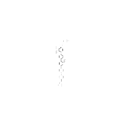 CCCOc1ccc(-c2ccc(-c3ccc(C4CCC(C5CCC(CCC)CC5)CC4)cc3F)cc2)c(F)c1F